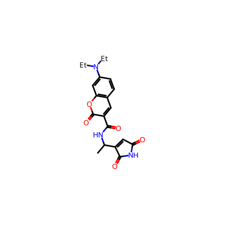 CCN(CC)c1ccc2cc(C(=O)NC(C)C3=CC(=O)NC3=O)c(=O)oc2c1